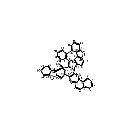 c1ccc2c(c1)ccc1nc(-c3ccc4c(c3)oc3ccccc34)c(-n3c4ccc5cccc6c5c4c4c5c(ccc43)sc3cccc-6c35)nc12